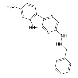 Cc1ccc2c(c1)[nH]c1nc(NNCc3ccccc3)nnc12